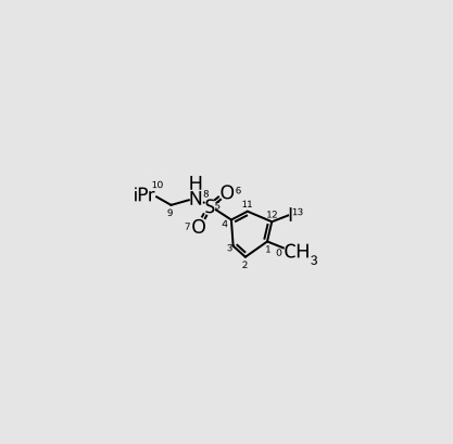 Cc1ccc(S(=O)(=O)NCC(C)C)cc1I